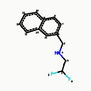 FC(F)CNCc1ccc2ccccc2c1